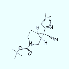 Cc1cc([C@@]2(C#N)[C@@H]3CCN(C(=O)OC(C)(C)C)C[C@@H]32)no1